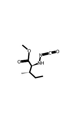 CC[C@H](C)[C@H](NN=C=O)C(=O)OC